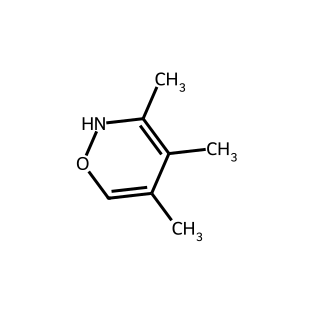 CC1=CONC(C)=C1C